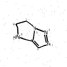 [c]1nnn2c1NCC2